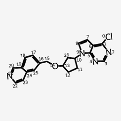 Clc1ncnc2c1ccn2C1CCC(OCc2ccc3cnccc3c2)C1